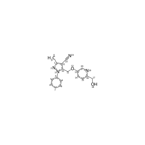 Cc1nn(-c2ccccc2)c(COc2ccc(CO)nc2)c1C#N